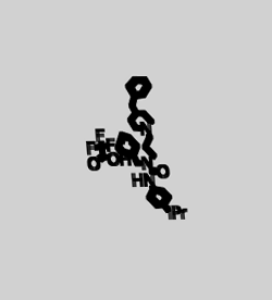 CC(C)c1ccc(NC(=O)N(CCCN2CCC(Cc3ccccc3)CC2)Cc2ccccc2)cc1.O=C(O)C(F)(F)F